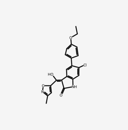 CCOc1ccc(-c2cc3c(cc2Cl)NC(=O)/C3=C(/O)c2cc(C)no2)cc1